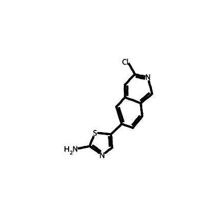 Nc1ncc(-c2ccc3cnc(Cl)cc3c2)s1